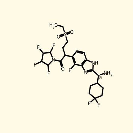 CCS(=O)(=O)CCC(C(=O)N1C(F)C(F)C(F)C1F)c1ccc2[nH]c([C@@H](N)C3CCC(F)(F)CC3)nc2c1F